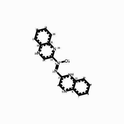 [O-][N+](=Nc1cnc2ccccc2n1)c1cnc2ccccc2n1